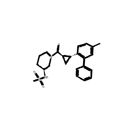 Cc1ccc([C@@H]2C[C@H]2C(=O)N2CCC[C@H](NS(C)(=O)=O)C2)c(-c2ccccc2)c1